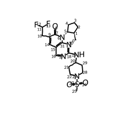 C[C@@H]1CCC[C@H]1n1c(=O)c(CC(F)F)cc2cnc(NC3CCN(S(C)(=O)=O)CC3)nc21